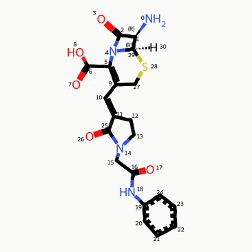 N[C@@H]1C(=O)N2C(C(=O)O)=C(C=C3CCN(CC(=O)Nc4ccccc4)C3=O)CS[C@H]12